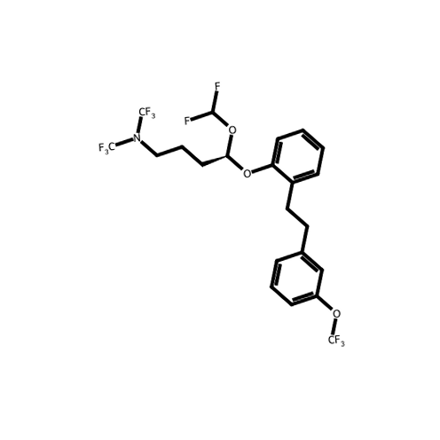 FC(F)O[C@H](CCCN(C(F)(F)F)C(F)(F)F)Oc1ccccc1CCc1cccc(OC(F)(F)F)c1